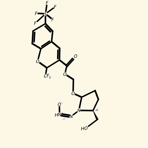 O=C(OCOC1CC[C@@H](CO)N1/N=[NH+]\[O-])C1=Cc2cc(S(F)(F)(F)(F)F)ccc2OC1C(F)(F)F